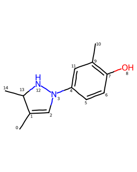 CC1=CN(c2ccc(O)c(C)c2)NC1C